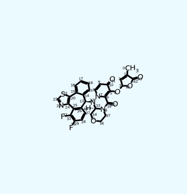 CC1=CC(Oc2c3n(ccc2=O)N([C@@H]2c4ccccc4-c4scnc4-c4c2ccc(F)c4F)[C@@H]2COCCN2C3=O)OC1=O